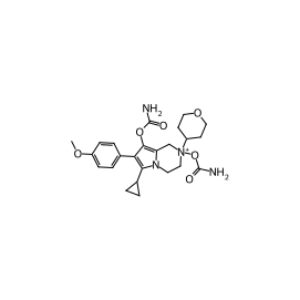 COc1ccc(-c2c(OC(N)=O)c3n(c2C2CC2)CC[N+](OC(N)=O)(C2CCOCC2)C3)cc1